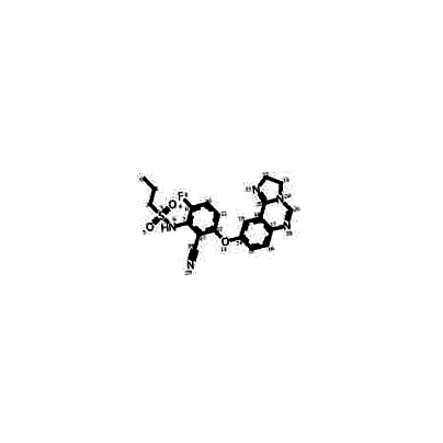 CCCS(=O)(=O)Nc1c(F)ccc(Oc2ccc3c(c2)C2=NCCN2C=N3)c1C#N